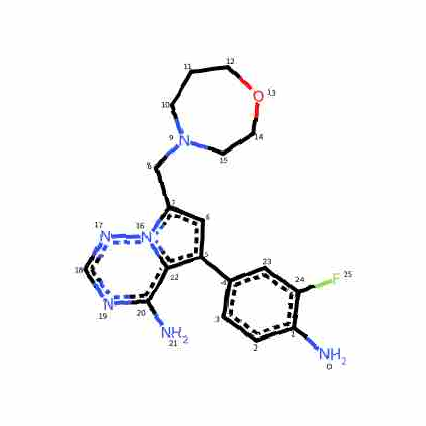 Nc1ccc(-c2cc(CN3CCCOCC3)n3ncnc(N)c23)cc1F